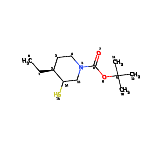 CC[C@H]1CCN(C(=O)OC(C)(C)C)CC1S